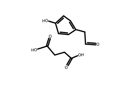 O=C(O)CCC(=O)O.O=CCc1ccc(O)cc1